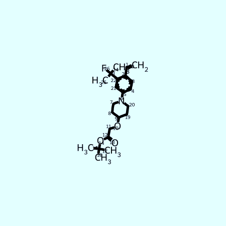 C=Cc1ccc(N2CCC(OCC(=O)OC(C)(C)C)CC2)cc1C(C)(C)F